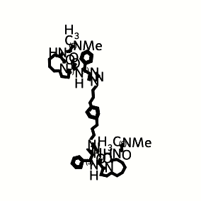 CN[C@@H](C)C(=O)NC1CCCCC2CCC(C(=O)N[C@@H](c3ccccc3)c3cn(CCCCc4ccc(CCCCn5cc([C@@H](NC(=O)[C@@H]6CCC7CCCCC(NC(=O)[C@H](C)NC)C(=O)N76)c6ccccc6)nn5)cc4)nn3)N2C1=O